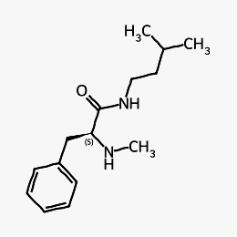 CN[C@@H](Cc1ccccc1)C(=O)NCCC(C)C